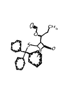 CCC(OC=O)C1C(=O)NC1SC(c1ccccc1)(c1ccccc1)c1ccccc1